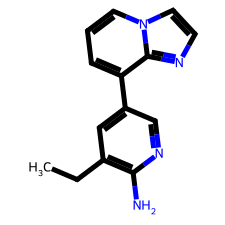 CCc1cc(-c2cccn3ccnc23)cnc1N